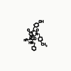 CCCN(C(=O)NCc1ccccc1)N1CC(=O)N2[C@@H](Cc3ccc(O)cc3)C(=O)N(Cc3ccc(C)cc3)C[C@@H]21